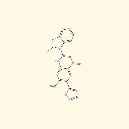 COc1cc2[nH]c(N3c4ccccc4CC3C)cc(=O)c2cc1-c1cnco1